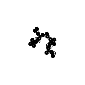 c1c(-c2ccc3c(c2)-c2cc4c(cc2C32c3ccccc3-c3ccccc32)Oc2cc(N(c3ccccc3)c3ccc5oc6ccccc6c5c3)ccc2O4)cc2cccc(-c3ccc(N(c4ccc(-c5cccc6ccccc56)cc4)c4ccc5c(c4)Oc4cc6c(cc4O5)-c4ccccc4C64c5ccccc5-c5ccccc54)cc3)c2c#1